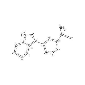 C=C(N)c1cccc(-c2c[nH]c3ccccc23)c1